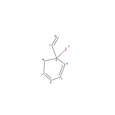 C=CC1(I)C=CC=CC1